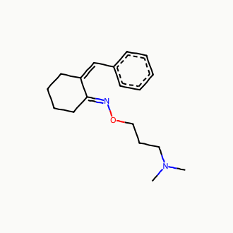 CN(C)CCCON=C1CCCCC1=Cc1ccccc1